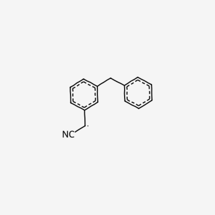 N#C[CH]c1cccc(Cc2ccccc2)c1